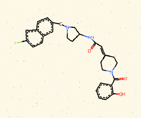 O=C(C=C1CCN(C(=O)c2ccccc2O)CC1)NC1CCN(Cc2ccc3cc(F)ccc3c2)C1